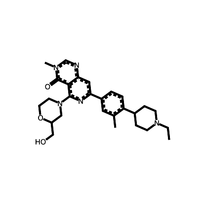 CCN1CCC(c2ccc(-c3cc4ncn(C)c(=O)c4c(N4CCOC(CO)C4)n3)cc2C)CC1